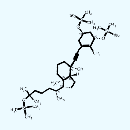 CC1=C(C#C[C@]2(O)CCC[C@]3(C)[C@@H]([C@H](C)CCCC(C)(C)O[Si](C)(C)C)CC[C@H]32)C[C@@H](O[Si](C)(C)C(C)(C)C)C[C@@H]1O[Si](C)(C)C(C)(C)C